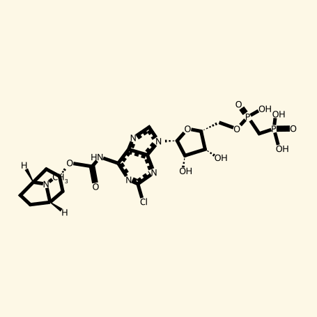 CN1[C@@H]2CC[C@H]1C[C@@H](OC(=O)Nc1nc(Cl)nc3c1ncn3[C@@H]1O[C@H](COP(=O)(O)CP(=O)(O)O)[C@H](O)[C@@H]1O)C2